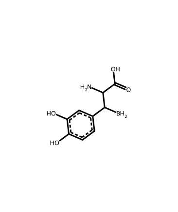 BC(c1ccc(O)c(O)c1)C(N)C(=O)O